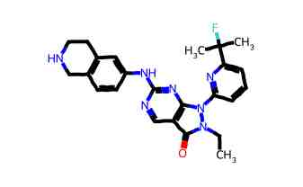 CCn1c(=O)c2cnc(Nc3ccc4c(c3)CCNC4)nc2n1-c1cccc(C(C)(C)F)n1